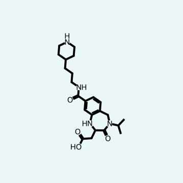 CC(C)N1Cc2ccc(C(=O)NCCCC3CCNCC3)cc2NC(CC(=O)O)C1=O